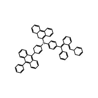 C1=CCC(/C=c2\cccc\c2=C(\c2ccccc2)c2ccc(N(C3=CCC(c4c5ccccc5c(-c5ccccc5)c5ccccc45)C=C3)C3=c4ccccc4=C4C=CC=CC4C3)cc2)C=C1